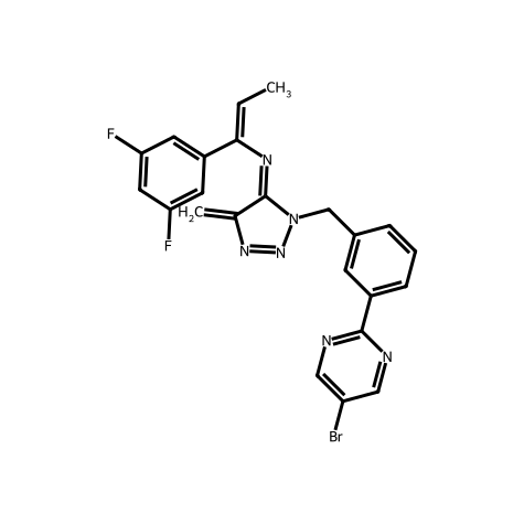 C=C1N=NN(Cc2cccc(-c3ncc(Br)cn3)c2)/C1=N/C(=C\C)c1cc(F)cc(F)c1